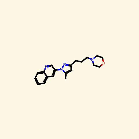 Cc1cc(CCCN2CCOCC2)nn1-c1cnc2ccccc2c1